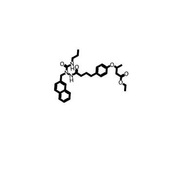 CCCNC(=O)N(Cc1ccc2ccccc2c1)NC(=O)CCCc1ccc(OC(C)CC(=O)OCC)cc1